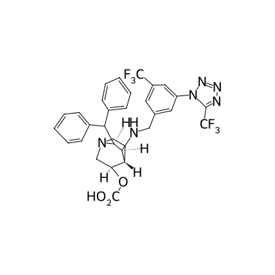 O=C(O)O[C@H]1CN2CC[C@H]1[C@H](NCc1cc(-n3nnnc3C(F)(F)F)cc(C(F)(F)F)c1)[C@@H]2C(c1ccccc1)c1ccccc1